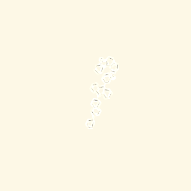 c1ccc(-c2ccc3cc(-c4c5ccccc5c(-c5ccc6c(c5)sc5ccc7ccc8sc9ccccc9c8c7c56)c5ccccc45)ccc3c2)cc1